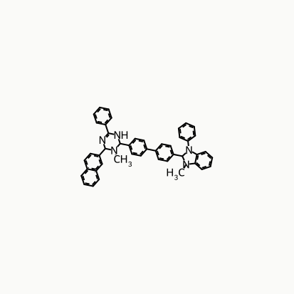 CN1c2ccccc2N(c2ccccc2)C1c1ccc(-c2ccc(C3NC(c4ccccc4)=NC(c4ccc5ccccc5c4)N3C)cc2)cc1